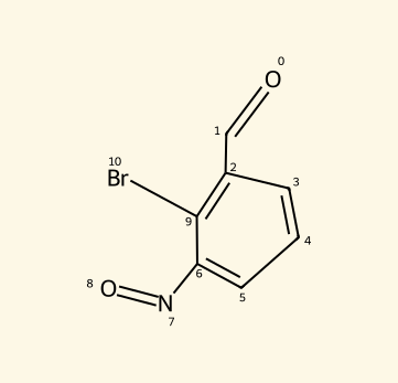 O=Cc1cccc(N=O)c1Br